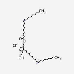 CCCCCCCC/C=C\CCCCCCCC(=O)OCCN1CC[N+](CCO)=C1CCCCCCC/C=C\CCCCCCCC.[Cl-]